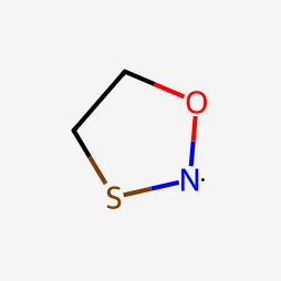 C1CS[N]O1